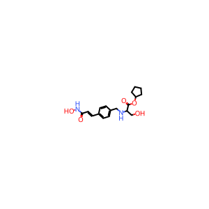 O=C(/C=C/c1ccc(CNC(CO)C(=O)OC2CCCC2)cc1)NO